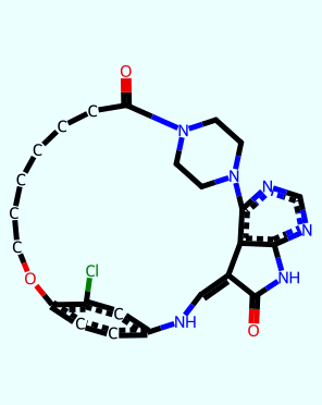 O=C1Nc2ncnc3c2/C1=C/Nc1ccc(c(Cl)c1)OCCCCCCC(=O)N1CCN3CC1